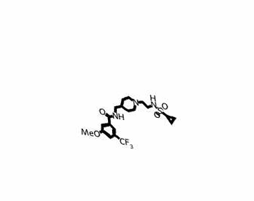 COc1cc(C(=O)NCC2CCN(CCNS(=O)(=O)C3CC3)CC2)cc(C(F)(F)F)c1